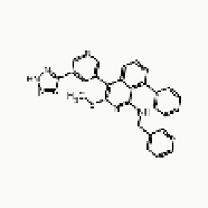 CSc1nc(NCc2ccccc2)c2c(-c3ccccc3)cccc2c1-c1cncc(-c2nn[nH]n2)c1